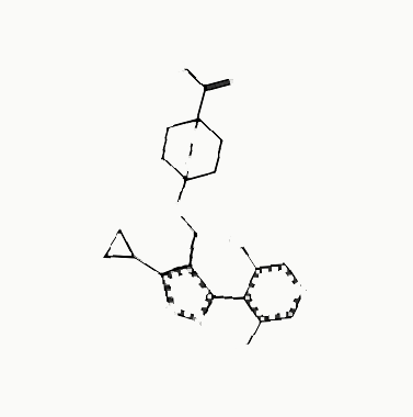 O=C(Cl)C12CCC(OCc3c(-c4c(Cl)cncc4Cl)noc3C3CC3)(CC1)CC2